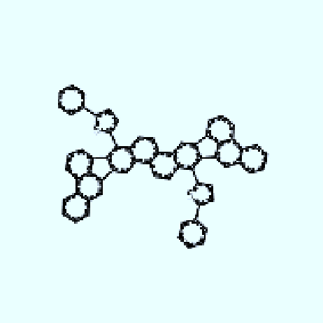 c1ccc(-c2ccc(-c3c4c(cc5c3ccc3c6cc7c(c(-c8ccc(-c9ccccc9)s8)c6ccc53)-c3cc5ccccc5c5cccc-7c35)-c3cc5ccccc5c5cccc-4c35)s2)cc1